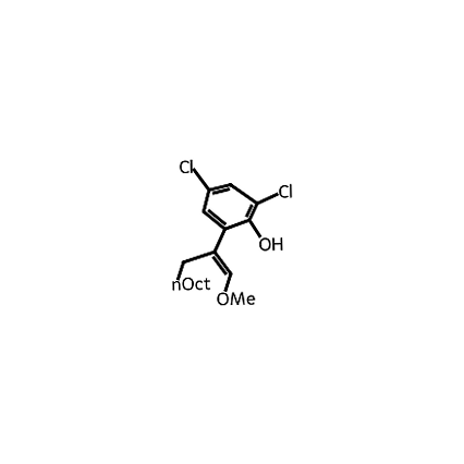 CCCCCCCCCC(=COC)c1cc(Cl)cc(Cl)c1O